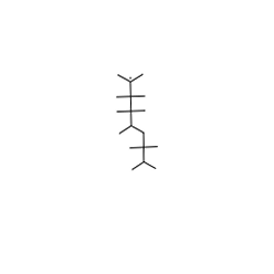 C[C](C)C(C)(C)C(C)(C)C(C)CC(C)(C)C(C)C